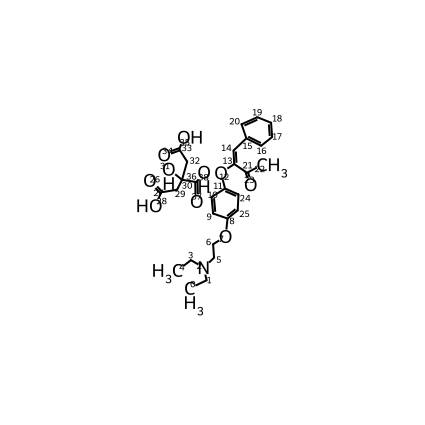 CCN(CC)CCOc1ccc(OC(=Cc2ccccc2)C(C)=O)cc1.O=C(O)CC(O)(CC(=O)O)C(=O)O